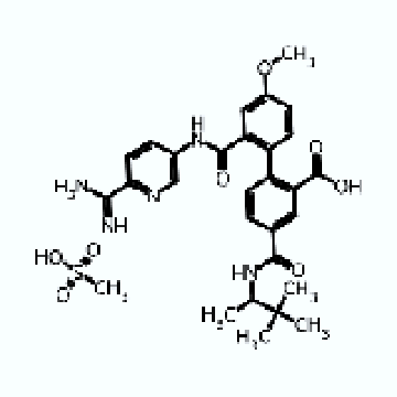 COc1ccc(-c2ccc(C(=O)NC(C)C(C)(C)C)cc2C(=O)O)c(C(=O)Nc2ccc(C(=N)N)nc2)c1.CS(=O)(=O)O